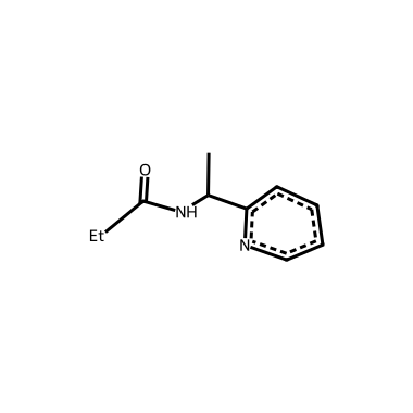 CCC(=O)NC(C)c1ccccn1